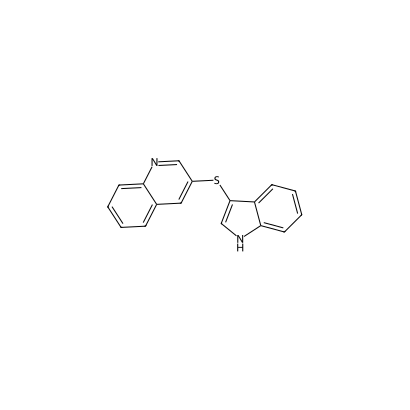 c1ccc2ncc(Sc3c[nH]c4ccccc34)cc2c1